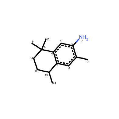 Cc1cc2c(cc1N)C(C)(C)CCC2C